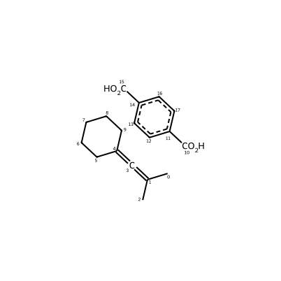 CC(C)=C=C1CCCCC1.O=C(O)c1ccc(C(=O)O)cc1